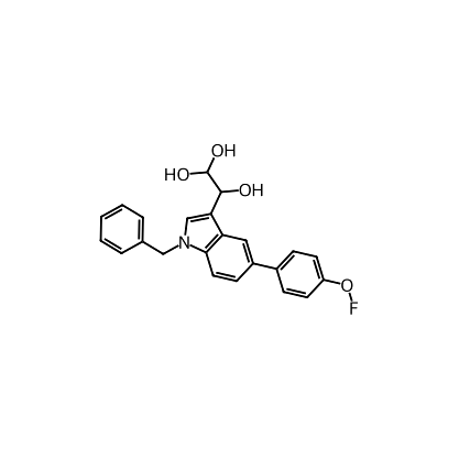 OC(O)C(O)c1cn(Cc2ccccc2)c2ccc(-c3ccc(OF)cc3)cc12